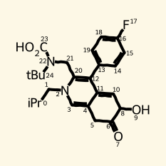 CC(C)CN1C=C2CC(=O)C(O)C=C2C(c2ccc(F)cc2)=C1CN(C(=O)O)C(C)(C)C